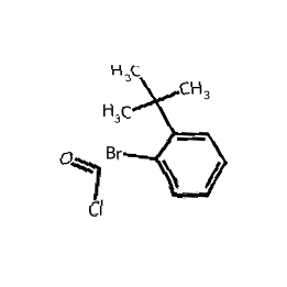 CC(C)(C)c1ccccc1Br.O=CCl